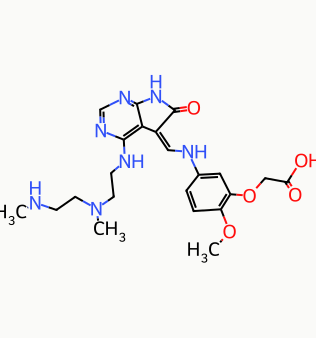 CNCCN(C)CCNc1ncnc2c1/C(=C/Nc1ccc(OC)c(OCC(=O)O)c1)C(=O)N2